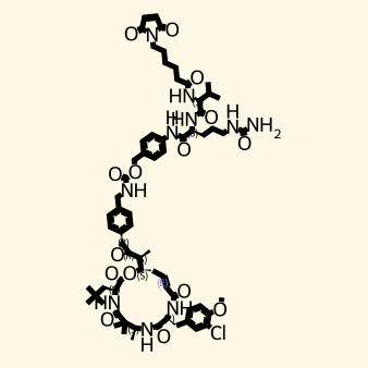 COc1ccc(C[C@H]2NC(=O)/C=C/C[C@@H]([C@H](C)[C@H]3O[C@@H]3c3ccc(CNC(=O)OCc4ccc(NC(=O)[C@H](CCCNC(N)=O)NC(=O)[C@@H](NC(=O)CCCCCN5C(=O)C=CC5=O)C(C)C)cc4)cc3)OC(=O)[C@H](CC(C)(C)C)NC(=O)C(C)(C)[C@H](C)NC2=O)cc1Cl